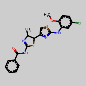 COc1ccc(Cl)cc1Nc1nc(C2SC(NC(=O)c3ccccc3)=NC2C)cs1